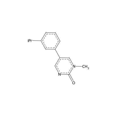 CC(C)c1cccc(-c2cnc(=O)n(C)c2)c1